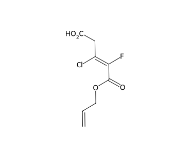 C=CCOC(=O)C(F)=C(Cl)CC(=O)O